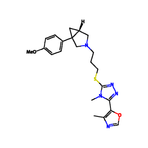 COc1ccc(C23C[C@@H]2CN(CCCSc2nnc(-c4ocnc4C)n2C)C3)cc1